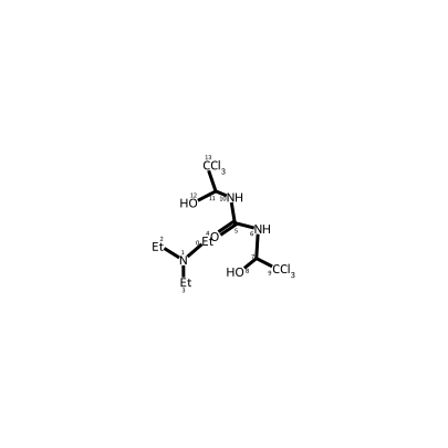 CCN(CC)CC.O=C(NC(O)C(Cl)(Cl)Cl)NC(O)C(Cl)(Cl)Cl